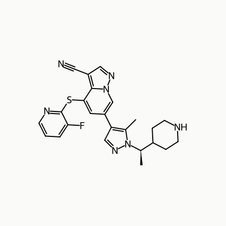 Cc1c(-c2cc(Sc3ncccc3F)c3c(C#N)cnn3c2)cnn1[C@H](C)C1CCNCC1